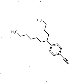 CCCCCCC(CCCC)c1ccc(C#N)cc1